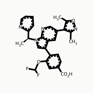 Cc1noc(C)c1-c1cnc2c(c1)c(-c1ccc(C(=O)O)cc1OC(F)F)cn2[C@@H](C)c1ccccn1